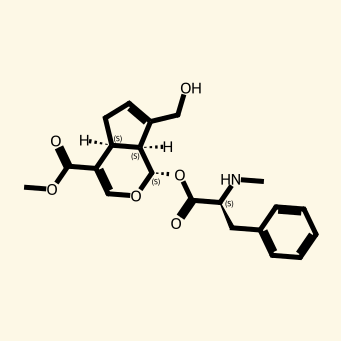 CN[C@@H](Cc1ccccc1)C(=O)O[C@@H]1OC=C(C(=O)OC)[C@H]2CC=C(CO)[C@@H]12